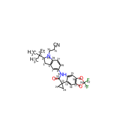 CCC(C)(C)C1Cc2cc(NC(=O)C3(c4ccc5c(c4)OC(F)(F)O5)CC3)ccc2N1CCC#N